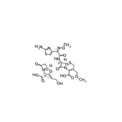 COCC1=C(C(=O)O)N2C(=O)[C@@H](NC(=O)/C(=N\OC)c3csc(N)n3)[C@H]2SC1.O=C(O)[C@H]1/C(=C/CO)O[C@@H]2CC(=O)N21